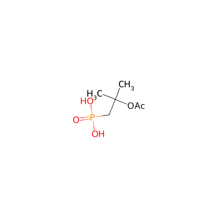 CC(=O)OC(C)(C)CP(=O)(O)O